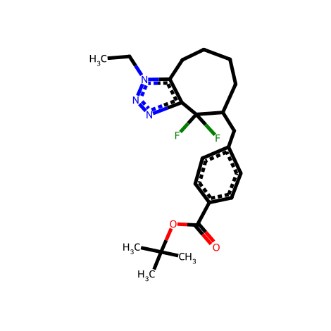 CCn1nnc2c1CCCCC(Cc1ccc(C(=O)OC(C)(C)C)cc1)C2(F)F